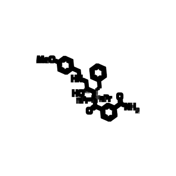 CCC[N+](CCC)(C(=O)c1cccc(C(N)=O)c1)[C@@H](Cc1ccccc1)[C@H](O)CNCc1ccc(OC)cc1